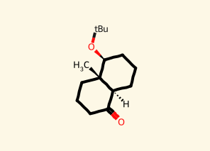 CC(C)(C)O[C@H]1CCC[C@H]2C(=O)CCC[C@]12C